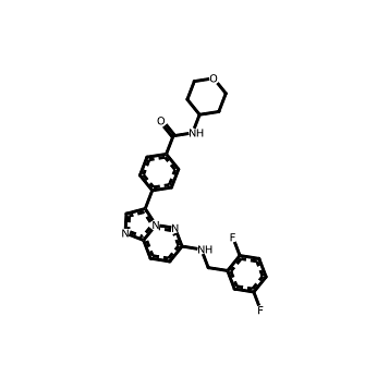 O=C(NC1CCOCC1)c1ccc(-c2cnc3ccc(NCc4cc(F)ccc4F)nn23)cc1